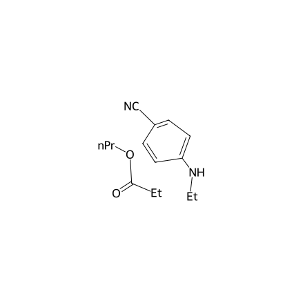 CCCOC(=O)CC.CCNc1ccc(C#N)cc1